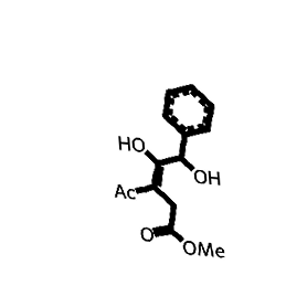 COC(=O)C/C(C(C)=O)=C(/O)C(O)c1ccccc1